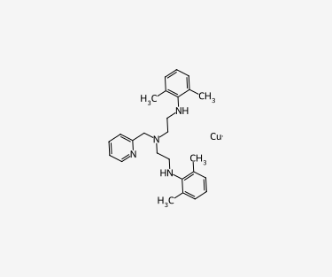 Cc1cccc(C)c1NCCN(CCNc1c(C)cccc1C)Cc1ccccn1.[Cu]